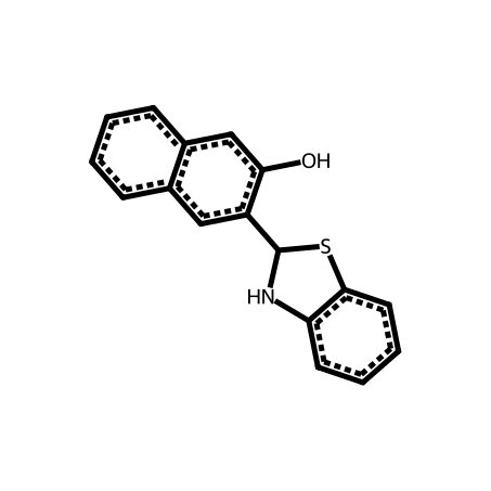 Oc1cc2ccccc2cc1C1Nc2ccccc2S1